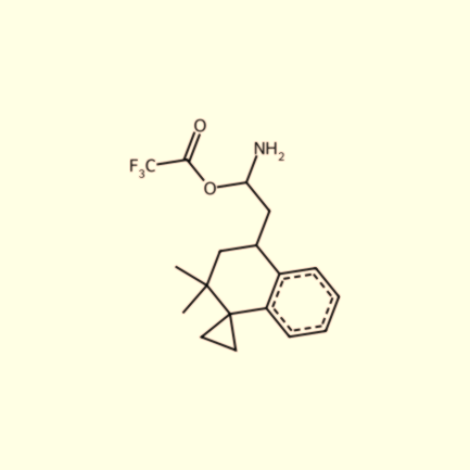 CC1(C)CC(CC(N)OC(=O)C(F)(F)F)c2ccccc2C12CC2